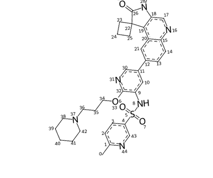 Cc1ccc(S(=O)(=O)Nc2cc(-c3ccc4ncc5c(c4c3)C3(CCC3)C(=O)N5C)cnc2OCCCN2CCCCC2)cn1